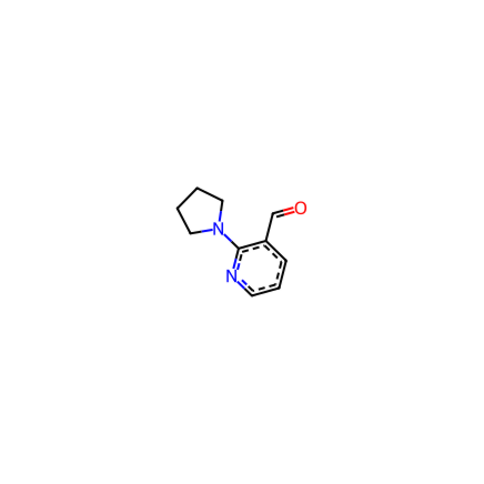 O=Cc1cccnc1N1CCCC1